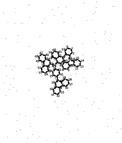 c1ccc(-n2c3ccccc3c3ccccc32)c(-c2ccc(N(c3ccc(-c4cc5ccccc5c5ccccc45)cc3)c3cc4ccccc4c4ccccc34)c3ccccc23)c1